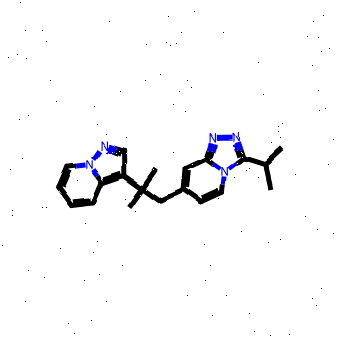 CC(C)c1nnc2cc(CC(C)(C)c3cnn4ccccc34)ccn12